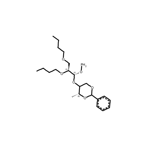 CCCCOC[C@H](OCCCC)[C@H](OP)OC1COC(c2ccccc2)O[C@@H]1C